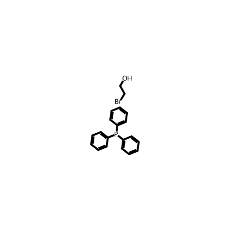 OCCBr.c1ccc(P(c2ccccc2)c2ccccc2)cc1